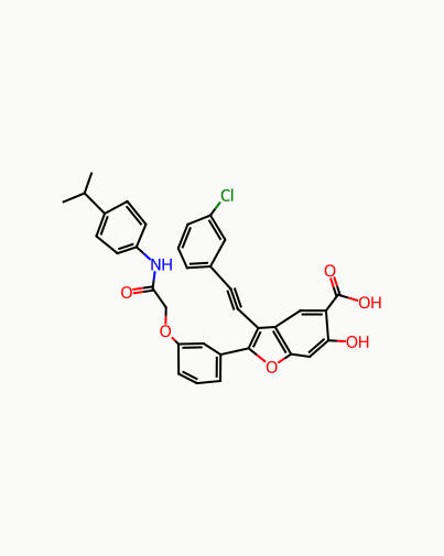 CC(C)c1ccc(NC(=O)COc2cccc(-c3oc4cc(O)c(C(=O)O)cc4c3C#Cc3cccc(Cl)c3)c2)cc1